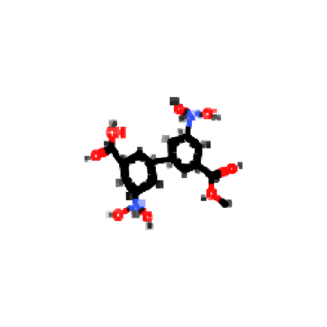 COC(=O)c1cc(-c2cc(C(=O)O)cc([N+](=O)[O-])c2)cc([N+](=O)[O-])c1